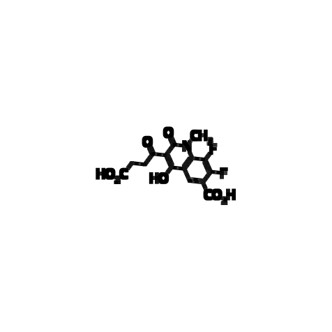 Cn1c(=O)c(C(=O)CCC(=O)O)c(O)c2cc(C(=O)O)c(F)c(F)c21